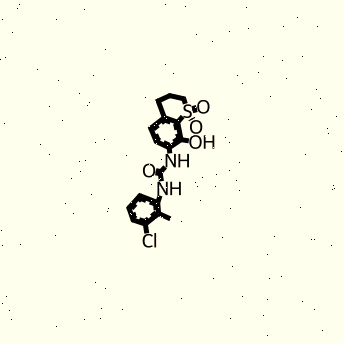 Cc1c(Cl)cccc1NC(=O)Nc1ccc2c(c1O)S(=O)(=O)CCC2